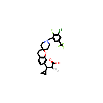 CC(C(=O)O)C(c1ccc2c(c1)OC1(CC2)CCN(Cc2cc(C(F)(F)F)cc(Cl)c2F)CC1)C1CC1